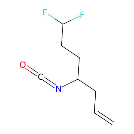 C=CCC(CCC(F)F)N=C=O